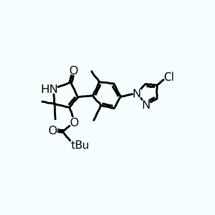 Cc1cc(-n2cc(Cl)cn2)cc(C)c1C1=C(OC(=O)C(C)(C)C)C(C)(C)NC1=O